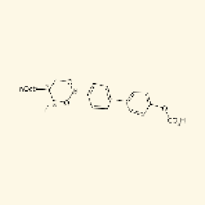 CCCCCCCC[C@H]1CO[C@H](c2ccc(-c3ccc(OC(=O)O)cc3)cc2)O[C@@H]1C